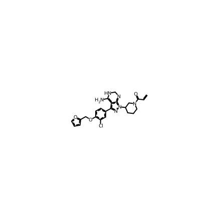 C=CC(=O)N1CCCC(n2nc(-c3ccc(OCc4ccco4)c(Cl)c3)c3c2=NCNC=3N)C1